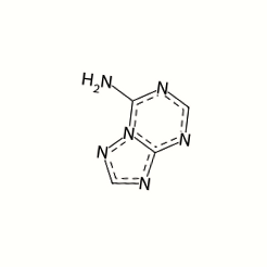 Nc1ncnc2ncnn12